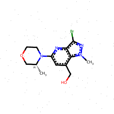 C[C@@H]1COCCN1c1cc(CO)c2c(n1)c(Br)nn2C